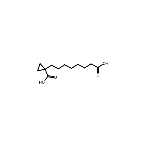 O=C(O)CCCCCCCC1(C(=O)O)CC1